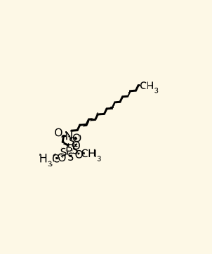 CCCCCCCCCCCCCCCCCCN1C(=O)CC(P(=S)(SOC)SOC)S1(=O)=O